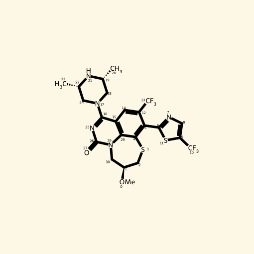 CO[C@@H]1CSc2c(-c3ncc(C(F)(F)F)s3)c(C(F)(F)F)cc3c(N4C[C@@H](C)N[C@@H](C)C4)nc(=O)n(c23)C1